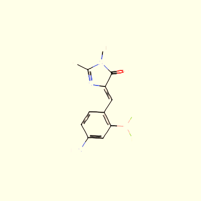 CC1=N/C(=C\c2ccc(N)cc2B(F)F)C(=O)N1C